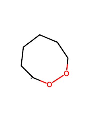 [C]1CCCCCOO1